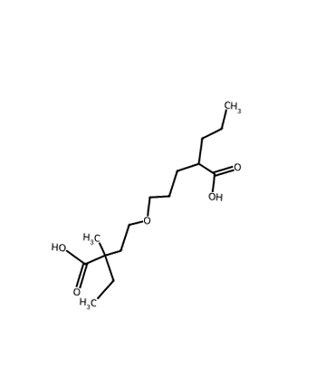 CCCC(CCCOCCC(C)(CC)C(=O)O)C(=O)O